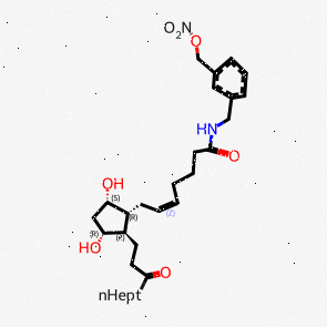 CCCCCCCC(=O)CC[C@@H]1[C@@H](C/C=C\CCCC(=O)NCc2cccc(CO[N+](=O)[O-])c2)[C@@H](O)C[C@H]1O